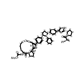 COC(=O)N[C@H]1CCCCOCc2[nH]c(nc2-c2ccc([C@H]3CC[C@H](c4ccc(-c5c[nH]c([C@@H]6CCCN6C(=O)[C@@H](C)C(C)C)n5)cc4)N3c3ccccc3)cc2)[C@@H]2CCCN2C1=O